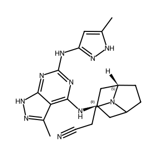 Cc1cc(Nc2nc(N[C@@H]3CC4CC[C@@H](C3)N4CCC#N)c3c(C)n[nH]c3n2)n[nH]1